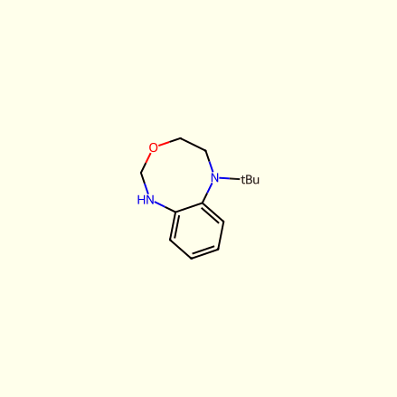 CC(C)(C)N1CCOCNc2ccccc21